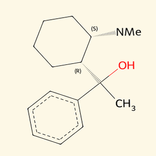 CN[C@H]1CCCC[C@H]1C(C)(O)c1ccccc1